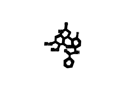 COC1=C2C(=CC(OC)C1OC)NC(=O)CC2c1cc(NC(=O)c2ccccc2)ccc1F